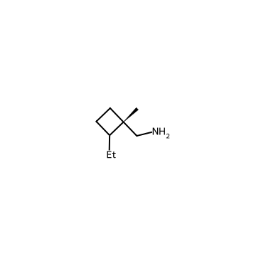 CCC1CC[C@]1(C)CN